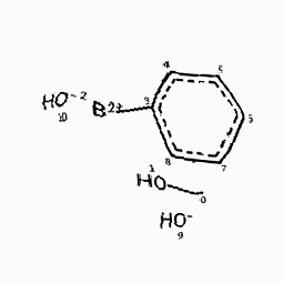 CO.[B+2]c1ccccc1.[OH-].[OH-]